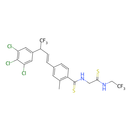 Cc1cc(/C=C/C(c2cc(Cl)c(Cl)c(Cl)c2)C(F)(F)F)ccc1C(=S)NCC(=S)NCC(F)(F)F